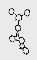 c1ccc(-c2cc(-c3ccccc3)nc(-c3ccc(-n4c5ccccc5c5c6sc7ccccc7c6ccc54)cc3)c2)cc1